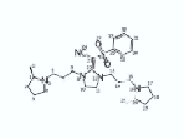 C[C@@H]1CCCN1CCCN1CCN(CCCN2CCC[C@@H]2C)/C1=C(/C#N)S(=O)(=O)c1ccccc1